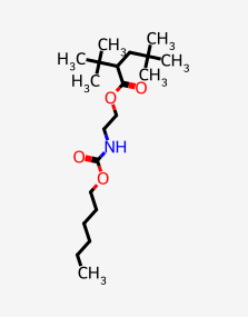 CCCCCCOC(=O)NCCOC(=O)C(CC(C)(C)C)C(C)(C)C